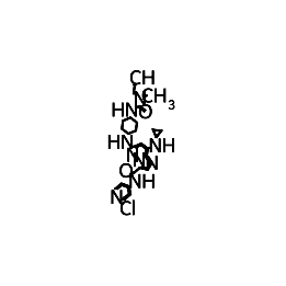 C#CCN(C)C(=O)NC1CCC(Nc2cc(NC3CC3)c3ncc(C(=O)Nc4ccnc(Cl)c4)n3n2)CC1